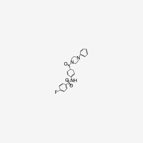 O=C([C@@H]1C=CC(NS(=O)(=O)c2ccc(F)cc2)=CC1)N1CCN(c2ccccc2)CC1